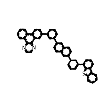 C1=CC(c2ccc3cc(-c4cccc(-c5ccc6c7ccccc7c7nccnc7c6c5)c4)ccc3c2)CC(c2cccc3c2sc2ccccc23)=C1